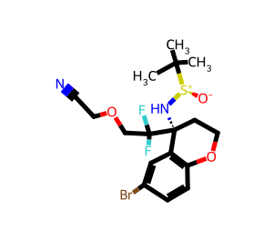 CC(C)(C)[S@@+]([O-])N[C@]1(C(F)(F)COCC#N)CCOc2ccc(Br)cc21